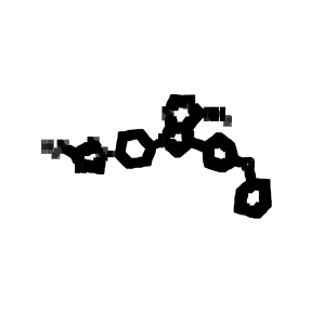 Nc1ncn([C@H]2CC[C@H](n3cc(-c4ccc(Oc5ccccc5)cc4)c4c(N)ncnc43)CC2)n1